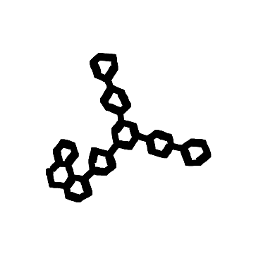 c1ccc(-c2ccc(-c3cc(-c4ccc(-c5ccccc5)cc4)cc(-c4ccc(-c5cccc6c5-c5ccccc5OC6)cc4)c3)cc2)cc1